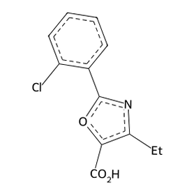 CCc1nc(-c2ccccc2Cl)oc1C(=O)O